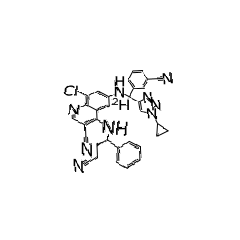 [2H][C@](Nc1cc(Cl)c2ncc(C#N)c(N[C@H](CCC#N)c3ccccc3)c2c1)(c1cccc(C#N)c1)c1cn(C2CC2)nn1